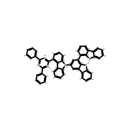 c1ccc(-c2nc(-c3ccccc3)nc(-c3cccc4c3c3ccccc3n4-c3cc(-c4cccc5c4sc4ccccc45)c4sc5ccccc5c4c3)n2)cc1